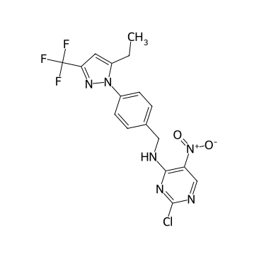 CCc1cc(C(F)(F)F)nn1-c1ccc(CNc2nc(Cl)ncc2[N+](=O)[O-])cc1